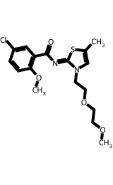 COCCOCCn1cc(C)s/c1=N\C(=O)c1cc(Cl)ccc1OC